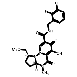 COC[C@@H]1CC[C@H]2N(C)C(=O)c3c(O)c(=O)c(C(=O)NCc4cccc(Cl)c4F)cn3N12